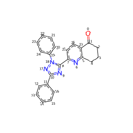 O=C1CCCc2nc(-c3nc(-c4ccccc4)nn3-c3ccccc3)ccc21